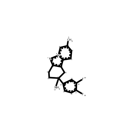 Cc1ccc2c3c(nn2c1)CCC(N)(c1ccc(F)c(F)c1)C3